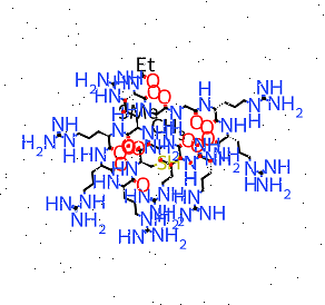 CCC(=O)N[C@@H](CSC)C(=O)N[C@@H](C)C(=O)NCC(=O)N[C@H](CCCNC(=N)N)C(=O)N[C@H](CCCNC(=N)N)C(=O)N[C@H](CCCNC(=N)N)C(=O)N[C@H](CCCNC(=N)N)C(=O)N[C@H](CCCNC(=N)N)C(=O)N[C@H](CCCNC(=N)N)C(=O)N[C@H](CCCNC(=N)N)C(=O)N[C@H](CCCNC(=N)N)C(=O)N[C@H](CCCNC(=N)N)C(=O)N[C@H](CS)C(N)=O